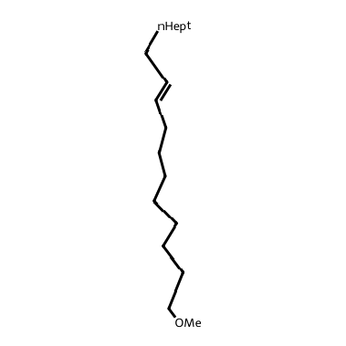 [CH2]OCCCCCCCC/C=C/CCCCCCCC